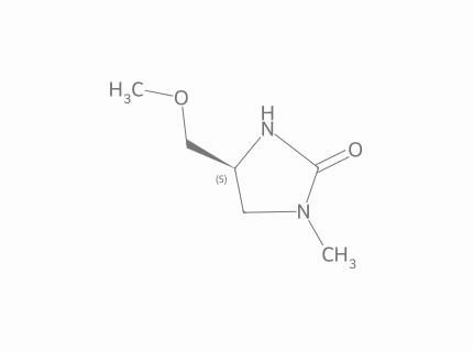 COC[C@@H]1CN(C)C(=O)N1